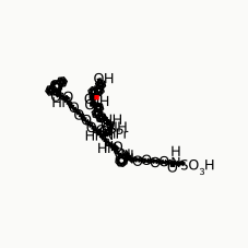 CC(C)[C@H](NC(=O)[C@@H](CCCCNC(=O)COC1CCCCCc2c1nnn2CCOCCOCCOCCOCCC(=O)NCCS(=O)(=O)O)NC(=O)CCOCCOCCOCCOCCNC(=O)CCC(=O)N1Cc2ccccc2C#Cc2ccccc21)C(=O)N[C@@H](C)C(=O)Nc1ccc2c(c1)[C@@]1(C)CCC[C@](C)(C(=O)NC(=O)[C@@]3(C)CCC[C@]4(C)c5cc(O)ccc5CC[C@@H]34)C1CC2